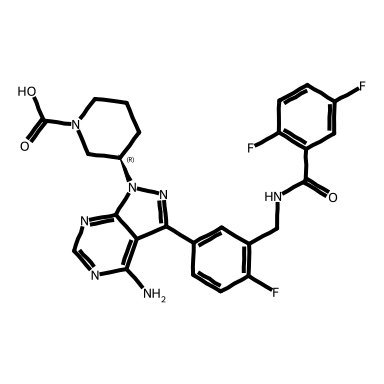 Nc1ncnc2c1c(-c1ccc(F)c(CNC(=O)c3cc(F)ccc3F)c1)nn2[C@@H]1CCCN(C(=O)O)C1